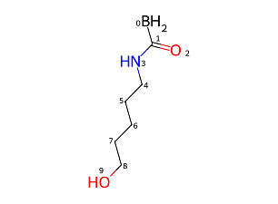 BC(=O)NCCCCCO